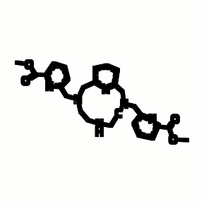 COC(=O)c1cccc(CN2CCNCCN(Cc3cccc(C(=O)OC)n3)Cc3cccc(n3)C2)n1